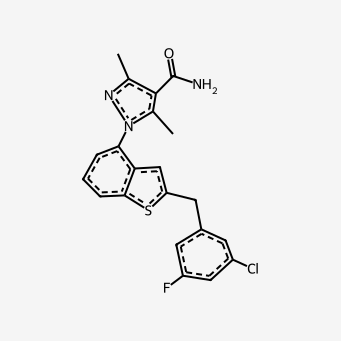 Cc1nn(-c2cccc3sc(Cc4cc(F)cc(Cl)c4)cc23)c(C)c1C(N)=O